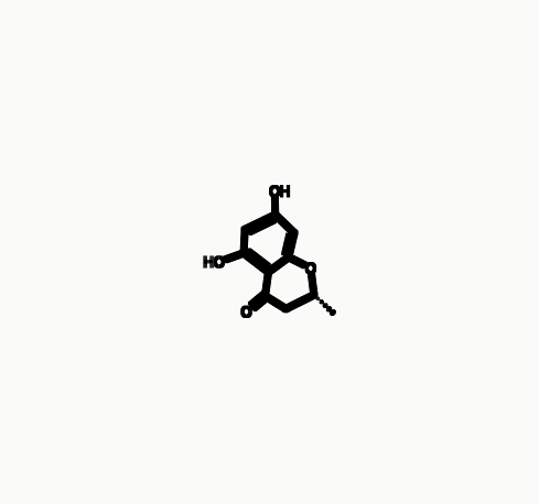 C[C@@H]1CC(=O)c2c(O)cc(O)cc2O1